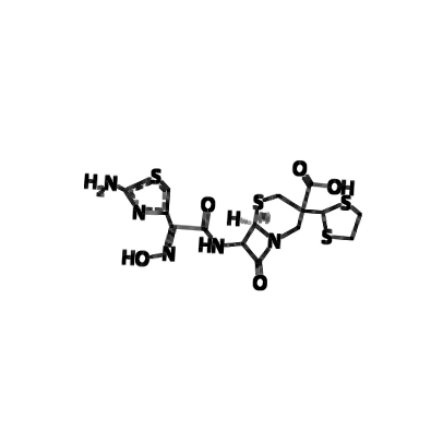 Nc1nc(C(=NO)C(=O)NC2C(=O)N3CC(C(=O)O)(C4SCCS4)CS[C@H]23)cs1